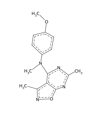 COc1ccc(N(C)c2nc(C)nc3onc(C)c23)cc1